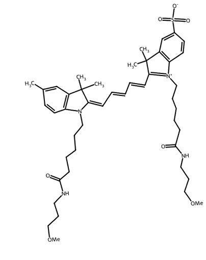 COCCCNC(=O)CCCCCN1/C(=C/C=C/C=C/C2=[N+](CCCCCC(=O)NCCCOC)c3ccc(S(=O)(=O)[O-])cc3C2(C)C)C(C)(C)c2cc(C)ccc21